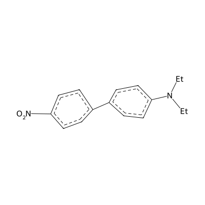 CCN(CC)c1ccc(-c2ccc([N+](=O)[O-])cc2)cc1